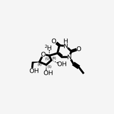 [2H][C@@]1(c2cn(C#CC)c(=O)[nH]c2=O)O[C@H](CO)[C@@H](O)[C@H]1O